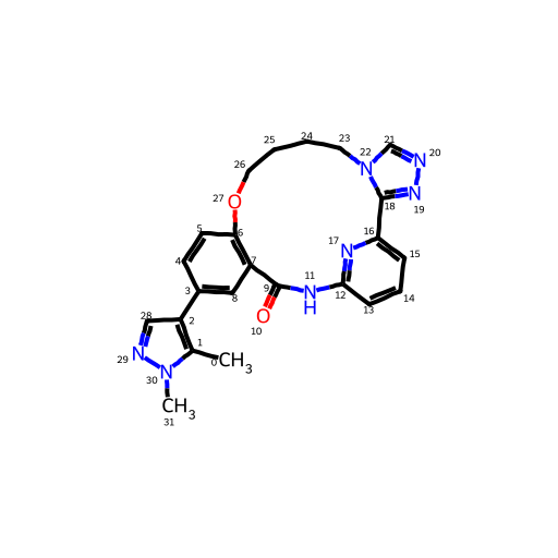 Cc1c(-c2ccc3c(c2)C(=O)Nc2cccc(n2)-c2nncn2CCCCO3)cnn1C